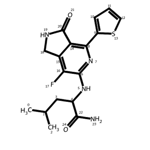 CC(C)CC(Nc1nc(-c2cccs2)c2c(c1F)CNC2=O)C(N)=O